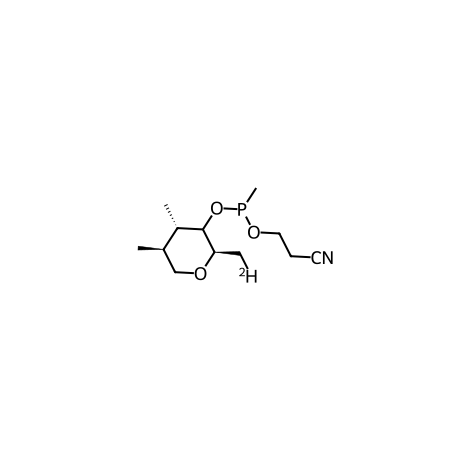 [2H]C[C@H]1OC[C@@H](C)[C@H](C)C1OP(C)OCCC#N